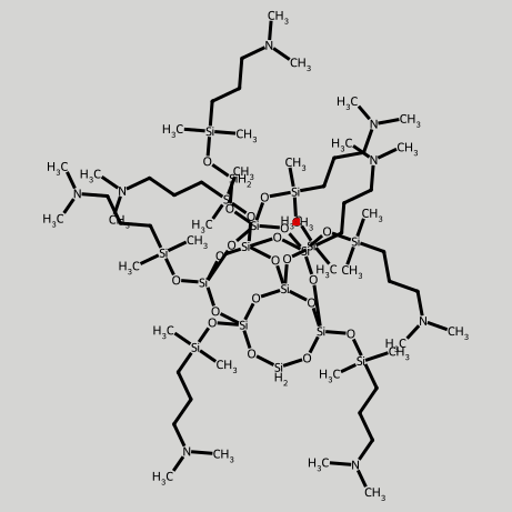 CN(C)CCC[Si](C)(C)O[SiH2]O[Si]1(O[Si](C)(C)CCCN(C)C)O[Si]2(O[Si](C)(C)CCCN(C)C)O[Si]3(O[Si](C)(C)CCCN(C)C)O[SiH2]O[Si]4(O[Si](C)(C)CCCN(C)C)O[Si](O[Si](C)(C)CCCN(C)C)(O1)O[Si](O[Si](C)(C)CCCN(C)C)(O2)O[Si](O[Si](C)(C)CCCN(C)C)(O3)O4